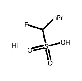 CCCC(F)S(=O)(=O)O.I